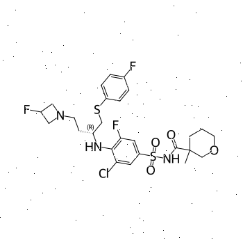 CC1(C(=O)NS(=O)(=O)c2cc(F)c(N[C@H](CCN3CC(F)C3)CSc3ccc(F)cc3)c(Cl)c2)CCCOC1